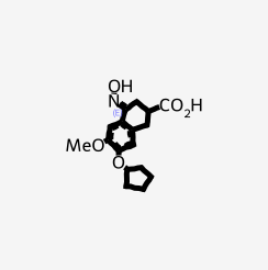 COc1cc2c(cc1OC1CCCC1)CC(C(=O)O)C/C2=N\O